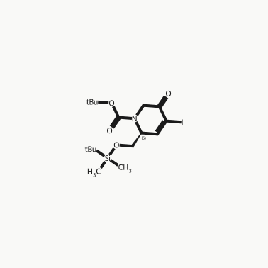 CC(C)(C)OC(=O)N1CC(=O)C(I)=C[C@H]1CO[Si](C)(C)C(C)(C)C